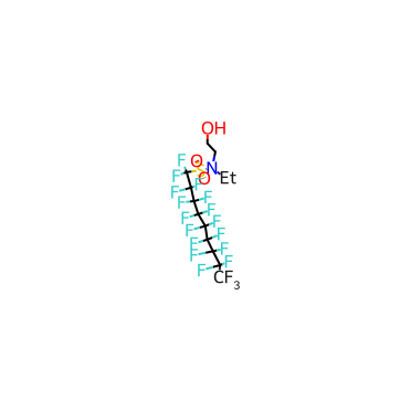 CCN(CCO)S(=O)(=O)C(F)(F)C(F)(F)C(F)(F)C(F)(F)C(F)(F)C(F)(F)C(F)(F)C(F)(F)C(F)(F)F